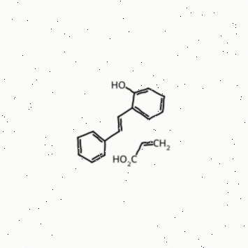 C=CC(=O)O.Oc1ccccc1C=Cc1ccccc1